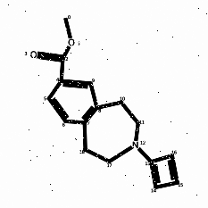 COC(=O)c1ccc2c(c1)CCN(C1=CC=C1)CC2